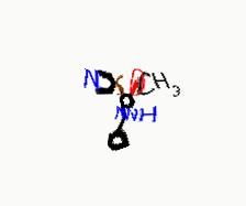 COc1cc2[nH]c(-c3ccccc3)nc2cc1Sc1ccncc1